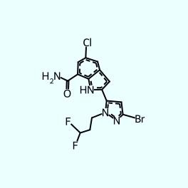 NC(=O)c1cc(Cl)cc2cc(-c3cc(Br)nn3CCC(F)F)[nH]c12